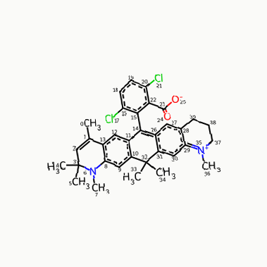 CC1=CC(C)(C)N(C)c2cc3c(cc21)C(c1c(Cl)ccc(Cl)c1C(=O)[O-])=c1cc2c(cc1C3(C)C)=[N+](C)CCC2